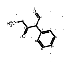 CCC(=O)C([C]=O)c1ccccc1